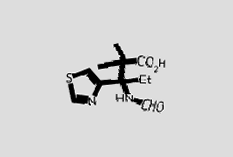 CCC(NC=O)(c1cscn1)C(C)(C)C(=O)O